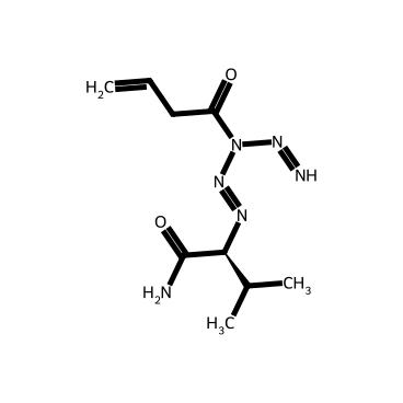 C=CCC(=O)N(N=N)N=N[C@H](C(N)=O)C(C)C